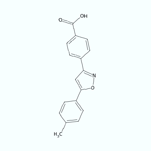 Cc1ccc(-c2cc(-c3ccc(C(=O)O)cc3)no2)cc1